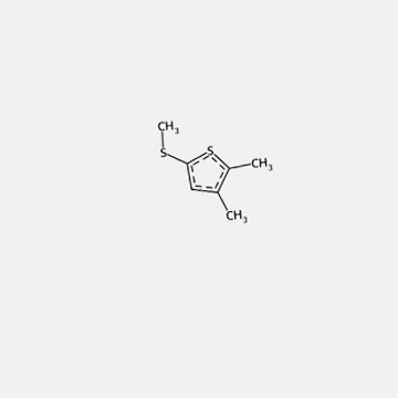 CSc1cc(C)c(C)s1